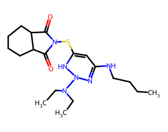 CCCCNC1=NN(N(CC)CC)NC(SN2C(=O)C3CCCCC3C2=O)=C1